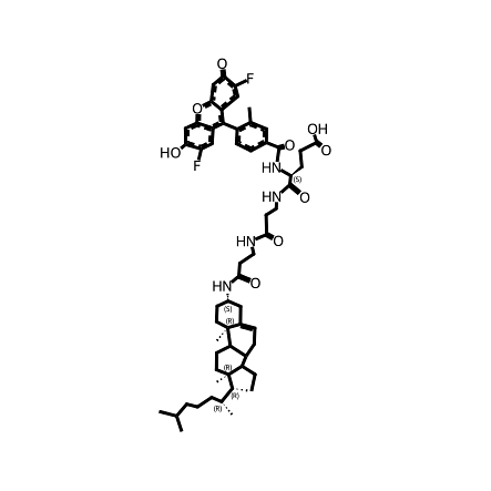 Cc1cc(C(=O)N[C@@H](CCC(=O)O)C(=O)NCCC(=O)NCCC(=O)N[C@H]2CC[C@@]3(C)C(=CCC4C3CC[C@@]3(C)C4CC[C@@H]3[C@H](C)CCCC(C)C)C2)ccc1-c1c2cc(F)c(=O)cc-2oc2cc(O)c(F)cc12